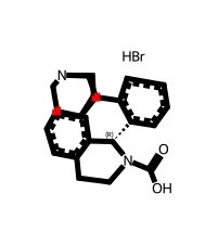 Br.O=C(O)N1CCc2ccccc2[C@@H]1c1ccccc1C1CN2CCC1CC2